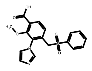 COc1c(C(=O)O)ccc(CS(=O)(=O)c2ccccc2)c1-n1ccnc1